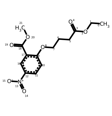 CCOC(=O)CCCOc1ccc([N+](=O)[O-])cc1C(=O)OC